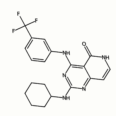 O=c1[nH]ccc2nc(NC3CCCCC3)nc(Nc3cccc(C(F)(F)F)c3)c12